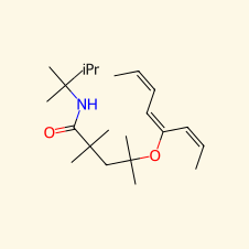 C\C=C/C=C(\C=C/C)OC(C)(C)CC(C)(C)C(=O)NC(C)(C)C(C)C